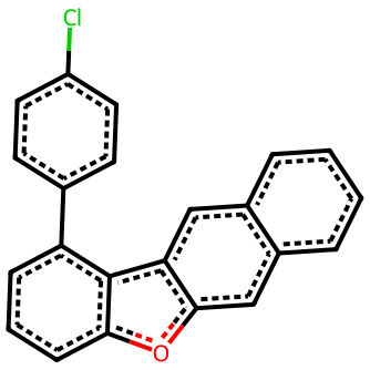 Clc1ccc(-c2cccc3oc4cc5ccccc5cc4c23)cc1